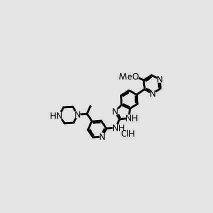 COc1cncnc1-c1ccc2nc(Nc3cc(C(C)N4CCNCC4)ccn3)[nH]c2c1.Cl